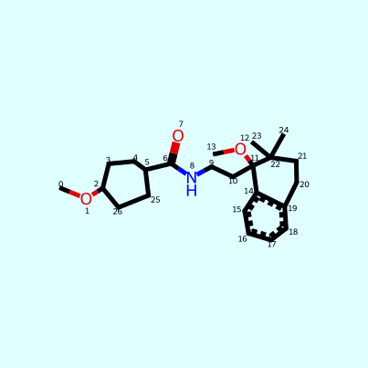 COC1CCC(C(=O)NCCC2(OC)c3ccccc3CCC2(C)C)CC1